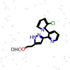 O=COCCc1cc(-c2ncccc2-c2ncccc2Cl)n[nH]1